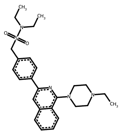 CCN1CCN(c2nc(-c3ccc(CS(=O)(=O)N(CC)CC)cc3)cc3ccccc23)CC1